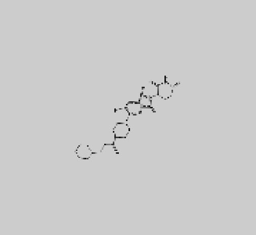 C=C1CCC(n2c(=C)c3cc(F)c(C4CCN(C(=C)CCC5CCCCC5)CC4)cc3c2=C)C(=C)N1